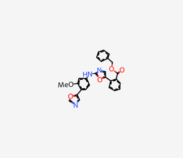 COc1cc(Nc2ncc(-c3ccccc3C(=O)OCc3ccccc3)o2)ccc1-c1cnco1